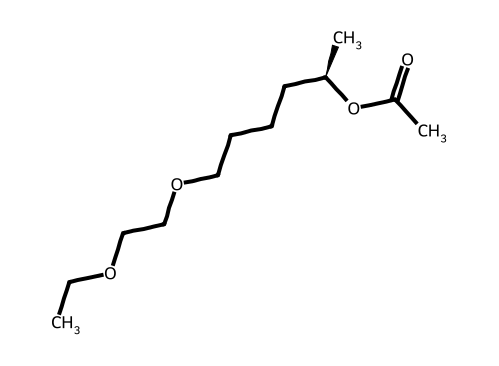 CCOCCOCCCC[C@@H](C)OC(C)=O